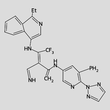 C=C(Nc1cnc(-n2nccn2)c(P)c1)/C(C=N)=C(/Nc1cnc(CC)c2ccccc12)C(F)(F)F